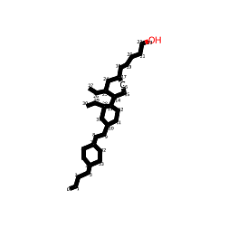 CCCCC1CCC(CCC2CCC(C3CCC(CCCCCO)CC3CC)C(CC)C2)CC1